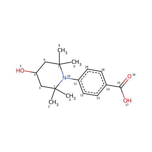 CC1(C)CC(O)CC(C)(C)N1c1ccc(C(=O)O)cc1